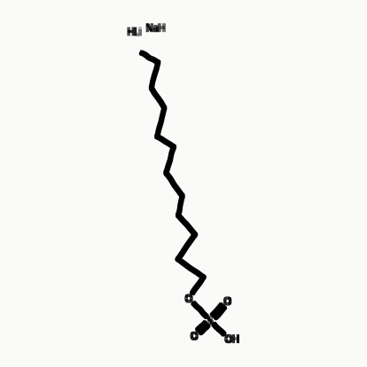 CCCCCCCCCCCCOS(=O)(=O)O.[LiH].[NaH]